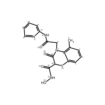 Cc1cccc2c1N(CC(=O)Nc1ccccn1)C(=O)C(C(=O)NO)S2